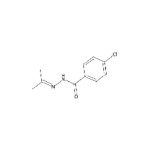 CC(C)=NNC(=O)c1ccc(Cl)cc1